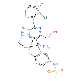 Cc1nc([C@@]2(N)c3cc(NS(C)(=O)=O)ccc3CC23CCNCC3)c(CO)nc1-c1cccc(Cl)c1Cl